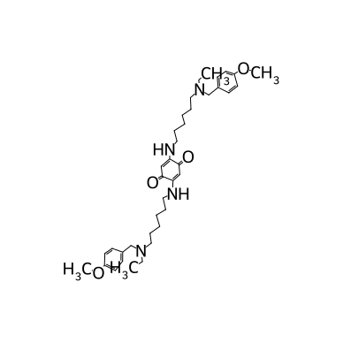 CCN(CCCCCCNC1=CC(=O)C(NCCCCCCN(CC)Cc2ccc(OC)cc2)=CC1=O)Cc1ccc(OC)cc1